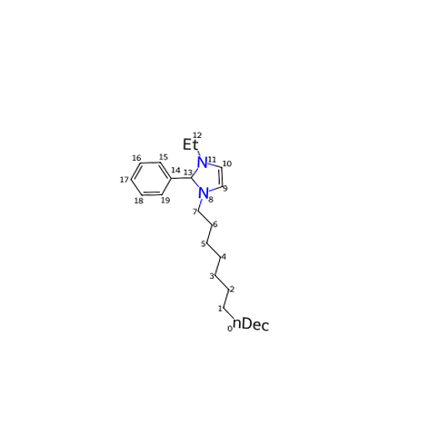 CCCCCCCCCCCCCCCCCN1C=CN(CC)C1c1ccccc1